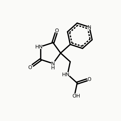 O=C(O)NCC1(c2ccncc2)NC(=O)NC1=O